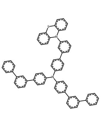 c1ccc(-c2cccc(-c3ccc(N(c4ccc(-c5cccc(-c6ccccc6)c5)cc4)c4ccc(-c5cccc(N6c7ccccc7Sc7ccccc76)c5)cc4)cc3)c2)cc1